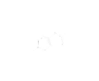 CC1C=CC(NN(C)C)=CC1